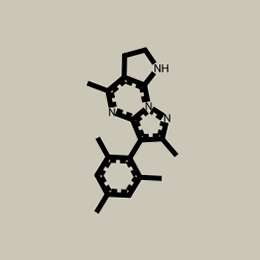 Cc1cc(C)c(-c2c(C)nn3c4c(c(C)nc23)CCN4)c(C)c1